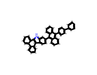 c1ccc(-c2ccc(-c3c4ccccc4c(-c4ccc5c(c4)[nH]c4c6ccccc6c6ccccc6c54)c4ccccc34)cc2)cc1